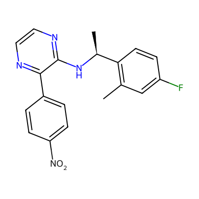 Cc1cc(F)ccc1[C@H](C)Nc1nccnc1-c1ccc([N+](=O)[O-])cc1